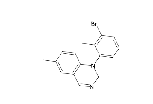 Cc1ccc2c(c1)C=NCN2c1cccc(Br)c1C